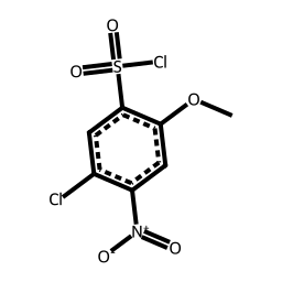 COc1cc([N+](=O)[O-])c(Cl)cc1S(=O)(=O)Cl